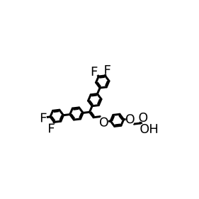 O=C(O)COc1ccc(OCC=C(c2ccc(-c3ccc(F)c(F)c3)cc2)c2ccc(-c3ccc(F)c(F)c3)cc2)cc1